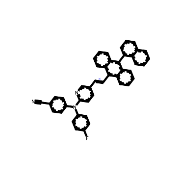 N#Cc1ccc(N(c2ccc(F)cc2)c2ccc(/C=C/c3c4ccccc4c(-c4cccc5ccccc45)c4ccccc34)cn2)cc1